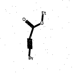 CCOC(=O)C#CC(C)C